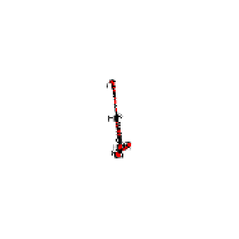 CC(C)(C)OC(=O)CCCCCCCCCCCCCCCCC(=O)NCCOCCOCCOCCOCCC(=O)NC(CCC(=O)OC(C)(C)C)C(=O)ON1C(=O)CCC1=O